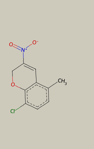 Cc1ccc(Cl)c2c1C=C([N+](=O)[O-])CO2